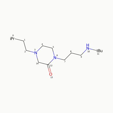 CC(C)CCN1CCN(CCCNC(C)(C)C)C(=O)C1